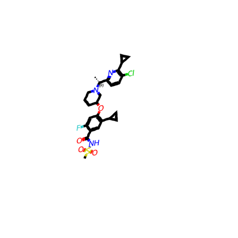 C[C@H](c1ccc(Cl)c(C2CC2)n1)N1CCCC(Oc2cc(F)c(C(=O)NS(C)(=O)=O)cc2C2CC2)C1